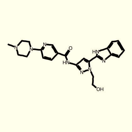 CN1CCN(c2ccc(C(=O)Nc3cc(-c4nc5ccccc5[nH]4)n(CCO)n3)cn2)CC1